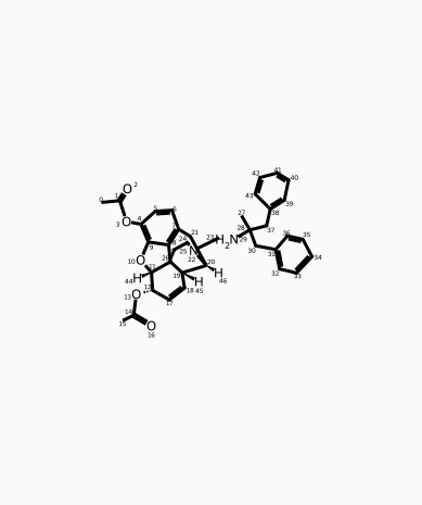 CC(=O)Oc1ccc2c3c1O[C@H]1[C@@H](OC(C)=O)C=C[C@H]4[C@@H](C2)N(C)CC[C@@]341.CC(N)(Cc1ccccc1)Cc1ccccc1